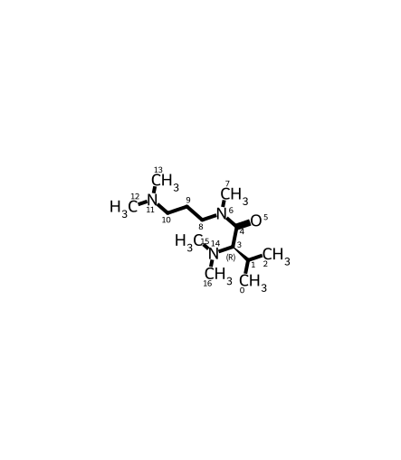 CC(C)[C@H](C(=O)N(C)CCCN(C)C)N(C)C